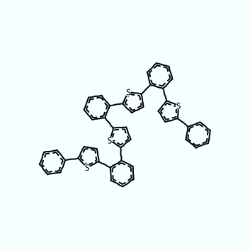 c1ccc(-c2ccc(-c3ccccc3-c3ccc(-c4ccccc4-c4ccc(-c5ccccc5-c5ccc(-c6ccccc6)s5)s4)s3)s2)cc1